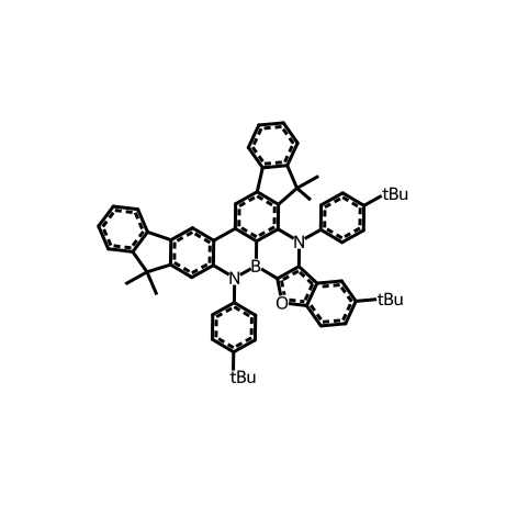 CC(C)(C)c1ccc(N2B3c4oc5ccc(C(C)(C)C)cc5c4N(c4ccc(C(C)(C)C)cc4)c4c3c(cc3c4C(C)(C)c4ccccc4-3)-c3cc4c(cc32)C(C)(C)c2ccccc2-4)cc1